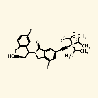 C#CCC(c1cc(F)ccc1F)N1Cc2c(F)cc(C#C[Si](C(C)C)(C(C)C)C(C)C)cc2C1=O